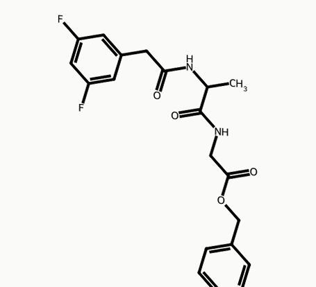 CC(NC(=O)Cc1cc(F)cc(F)c1)C(=O)NCC(=O)OCc1ccccc1